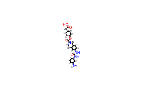 CN(C)c1cccc(NC(=O)Nc2ccc3c(c2)CCN(C(=O)O[C@H]2CC[C@H](CC(=O)O)CC2)C3)c1